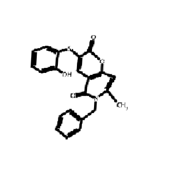 Cc1cc2oc(=O)c(Sc3ccccc3O)cc2c(=O)n1Cc1ccccc1